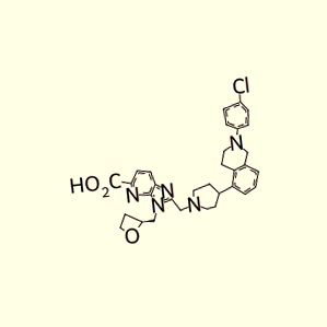 O=C(O)c1ccc2nc(CN3CCC(c4cccc5c4CCN(c4ccc(Cl)cc4)C5)CC3)n(C[C@@H]3CCO3)c2n1